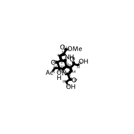 COC(=O)c1cc2c([nH]1)-c1c(C(=O)CO)cc(C(=O)CO)nc1C(O)(CC(C)=O)C2=O